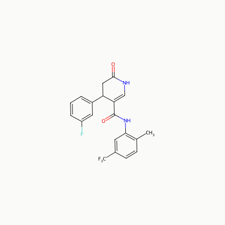 Cc1ccc(C(F)(F)F)cc1NC(=O)C1=CNC(=O)CC1c1cccc(F)c1